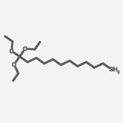 CCOC(CCCCCCCCCC[SiH3])(OCC)OCC